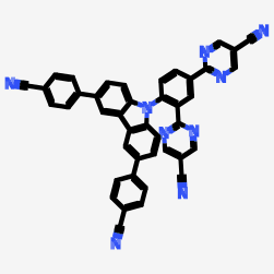 N#Cc1ccc(-c2ccc3c(c2)c2cc(-c4ccc(C#N)cc4)ccc2n3-c2ccc(-c3ncc(C#N)cn3)cc2-c2ncc(C#N)cn2)cc1